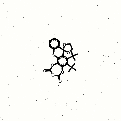 CC(C)(C)c1c2c(c3c(c1C(C)(C)C)C1(OCCO1)c1ccccc1S3)OC(=O)OC(=O)O2